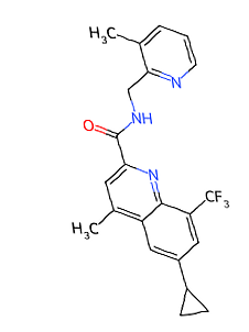 Cc1cccnc1CNC(=O)c1cc(C)c2cc(C3CC3)cc(C(F)(F)F)c2n1